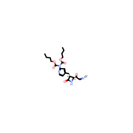 CCCCOC(=O)N(C(=O)OCCCC)c1cc(C[C@H]2C(=O)N[C@@H]2C(=O)C=[N+]=[N-])ccn1